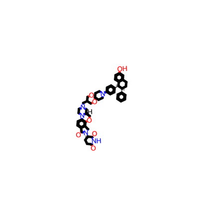 O=C1CC[C@H](N2Cc3c(ccc4c3OC[C@H]3CN(CC5COC6(CCN(c7ccc([C@@H]8c9ccc(O)cc9CC[C@@H]8c8ccccc8)cc7)CC6)OC5)CCN43)C2=O)C(=O)N1